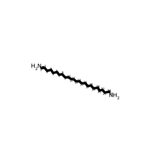 NC=CCCCCCCCCCCCCCCCCCCCCCCN